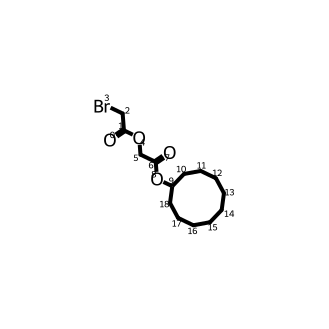 O=C(CBr)OCC(=O)OC1CCCCCCCCC1